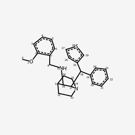 COc1ccccc1CNC1C2CCN(CC2)C1C(c1ccccc1)c1ccsc1